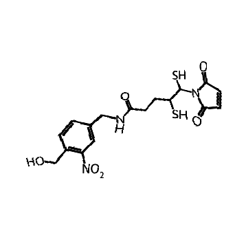 O=C(CCC(S)C(S)N1C(=O)C=CC1=O)NCc1ccc(CO)c([N+](=O)[O-])c1